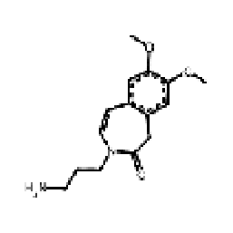 COc1cc2c(cc1OC)CC(=O)N(CCCN)C=C2